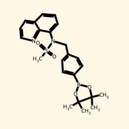 CC1(C)OB(c2ccc(CN(c3cccc4cccnc34)S(C)(=O)=O)cc2)OC1(C)C